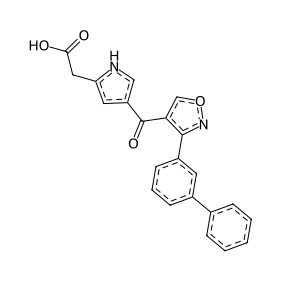 O=C(O)Cc1cc(C(=O)c2conc2-c2cccc(-c3ccccc3)c2)c[nH]1